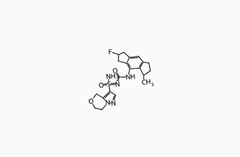 CC1CCc2cc3c(c(NC(=O)N=S(N)(=O)c4cnn5c4COCC5)c21)CC(F)C3